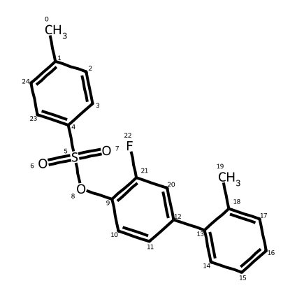 Cc1ccc(S(=O)(=O)Oc2ccc(-c3ccccc3C)cc2F)cc1